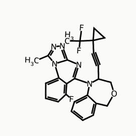 Cc1nnc2nc(N3c4ccccc4COCC3C#CC3(C(C)(F)F)CC3)c3c(F)cccc3n12